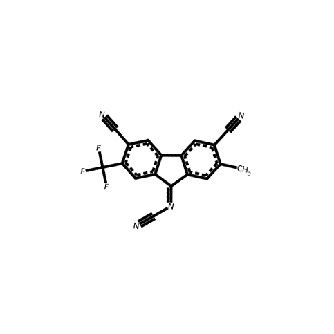 Cc1cc2c(cc1C#N)-c1cc(C#N)c(C(F)(F)F)cc1/C2=N\C#N